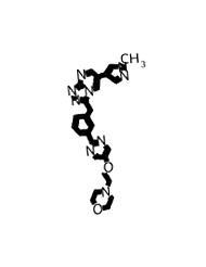 Cn1cc(-c2cnc3nnc(Cc4cccc(-c5ncc(OCCN6CCOCC6)cn5)c4)n3c2)cn1